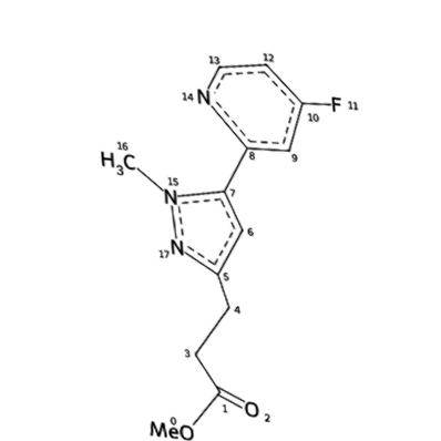 COC(=O)CCc1cc(-c2cc(F)ccn2)n(C)n1